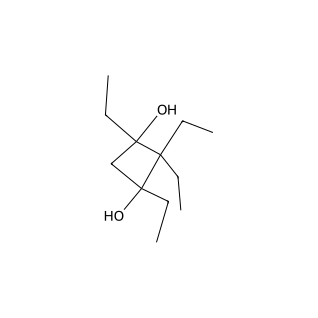 CCC1(O)CC(O)(CC)C1(CC)CC